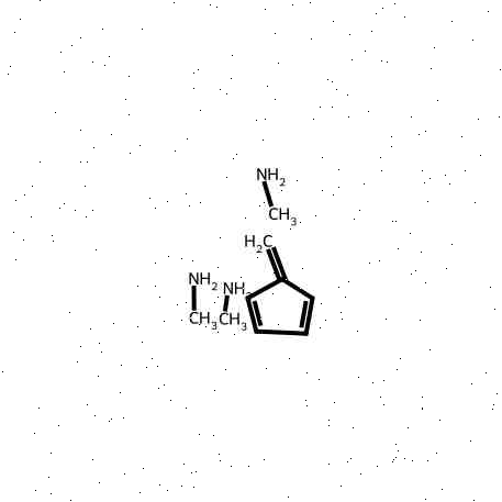 C=C1C=CC=C1.CN.CN.CN